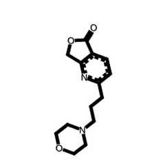 O=C1OCc2nc(CCCN3CCOCC3)ccc21